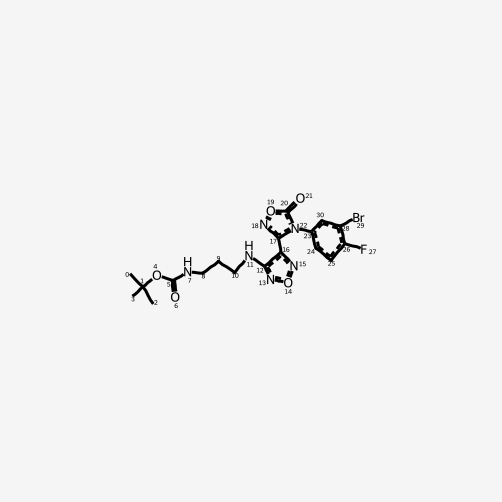 CC(C)(C)OC(=O)NCCCNc1nonc1-c1noc(=O)n1-c1ccc(F)c(Br)c1